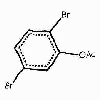 CC(=O)Oc1cc(Br)ccc1Br